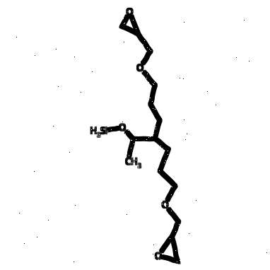 CC(O[SiH3])C(CCCOCC1CO1)CCCOCC1CO1